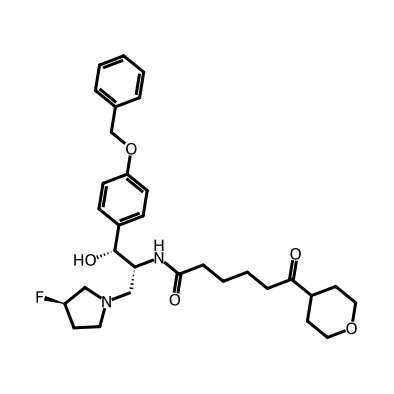 O=C(CCCCC(=O)C1CCOCC1)N[C@H](CN1CC[C@@H](F)C1)[C@H](O)c1ccc(OCc2ccccc2)cc1